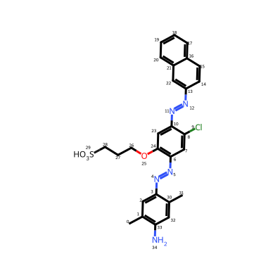 Cc1cc(N=Nc2cc(Cl)c(N=Nc3ccc4ccccc4c3)cc2OCCCS(=O)(=O)O)c(C)cc1N